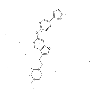 CN1CCN(CCc2coc3cc(Oc4ccc(-c5ccn[nH]5)cn4)ccc23)CC1